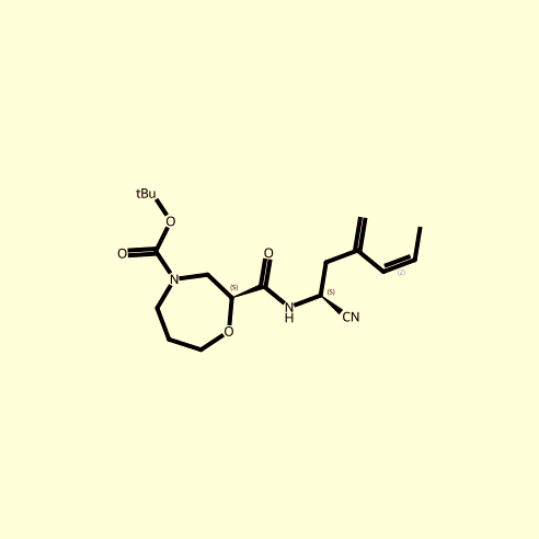 C=C(/C=C\C)C[C@@H](C#N)NC(=O)[C@@H]1CN(C(=O)OC(C)(C)C)CCCO1